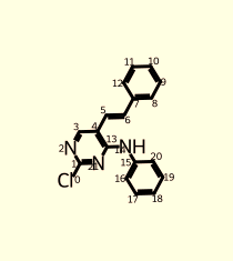 Clc1ncc(C=Cc2ccccc2)c(Nc2ccccc2)n1